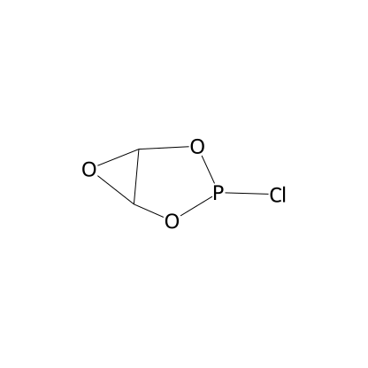 ClP1OC2OC2O1